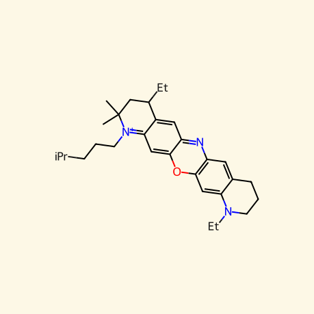 CCC1CC(C)(C)[N+](CCCC(C)C)=c2cc3c(cc21)=Nc1cc2c(cc1O3)N(CC)CCC2